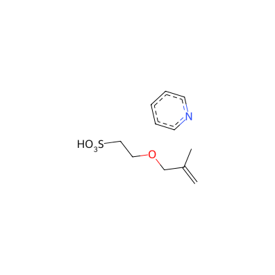 C=C(C)COCCS(=O)(=O)O.c1ccncc1